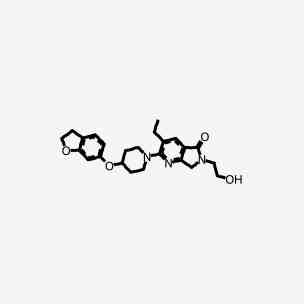 CCc1cc2c(nc1N1CCC(Oc3ccc4c(c3)OCC4)CC1)CN(CCO)C2=O